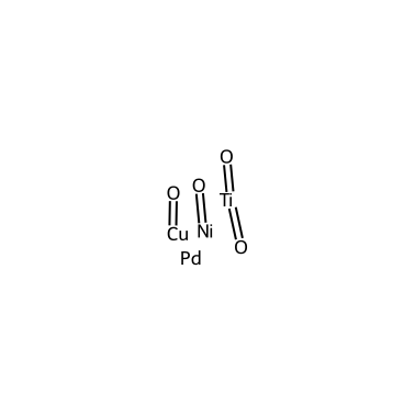 [O]=[Cu].[O]=[Ni].[O]=[Ti]=[O].[Pd]